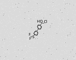 OC(CCl)c1ccc(-c2ccc(SC(F)F)cc2)cc1